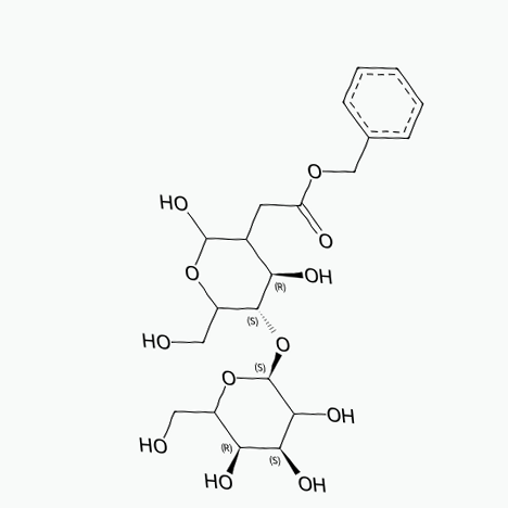 O=C(CC1C(O)OC(CO)[C@@H](O[C@@H]2OC(CO)[C@H](O)[C@H](O)C2O)[C@@H]1O)OCc1ccccc1